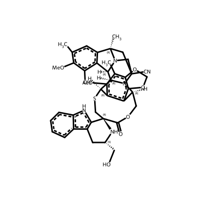 COc1c(C)cc2c(c1O)[C@@H]1[C@@H]3[C@@H]4SC[C@]5(N[C@H](CO)Cc6c5[nH]c5ccccc65)C(=O)OC[C@@H](c5c6c(c(C)c(OC(C)=O)c54)OCO6)N3C3(C#N)CN1[C@]2(C)C3